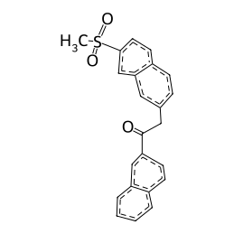 CS(=O)(=O)c1ccc2ccc(CC(=O)c3ccc4ccccc4c3)cc2c1